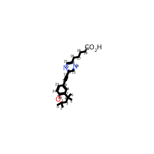 CC1(C)CC(C)(C)c2cc(C#Cc3cnc(CCCCC(=O)O)cn3)ccc2O1